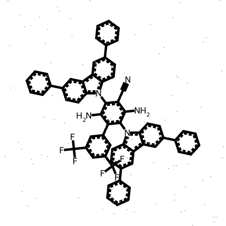 N#Cc1c(N)c(-n2c3ccc(-c4ccccc4)cc3c3cc(-c4ccccc4)ccc32)c(-c2cc(C(F)(F)F)cc(C(F)(F)F)c2)c(N)c1-n1c2ccc(-c3ccccc3)cc2c2cc(-c3ccccc3)ccc21